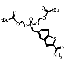 CC(C)(C)C(=O)OCOP(=O)(Cc1ccc2sc(C(N)=O)cc2c1)OCOC(=O)C(C)(C)C